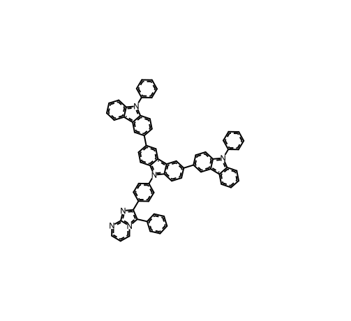 c1ccc(-c2c(-c3ccc(-n4c5ccc(-c6ccc7c(c6)c6ccccc6n7-c6ccccc6)cc5c5cc(-c6ccc7c(c6)c6ccccc6n7-c6ccccc6)ccc54)cc3)nc3ncccn23)cc1